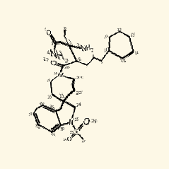 C[C@](N)(C(N)=O)C(CCCC1CCCCC1)C(=O)N1CCC2(CC1)CN(S(C)(=O)=O)c1ccccc12